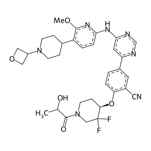 COc1nc(Nc2cc(-c3ccc(O[C@@H]4CCN(C(=O)C(C)O)CC4(F)F)c(C#N)c3)ncn2)ccc1C1CCN(C2COC2)CC1